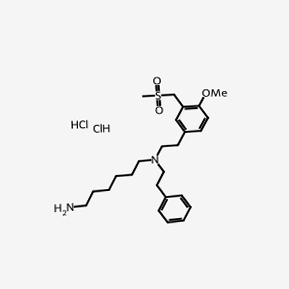 COc1ccc(CCN(CCCCCCN)CCc2ccccc2)cc1CS(C)(=O)=O.Cl.Cl